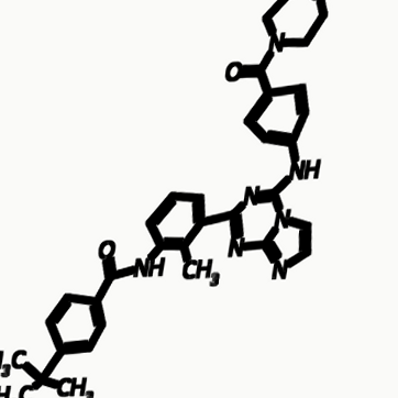 Cc1c(NC(=O)c2ccc(C(C)(C)C)cc2)cccc1-c1nc(Nc2ccc(C(=O)N3CCOCC3)cc2)n2ccnc2n1